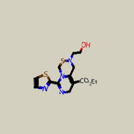 CCOC(=O)C1=C2CN(CCO)SCN2C(c2nccs2)=NC1